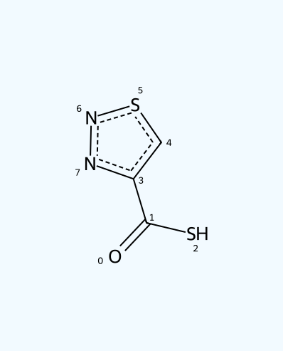 O=C(S)c1csnn1